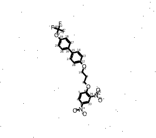 O=[N+]([O-])c1ccc(OCCCOc2ccc(-c3ccc(OC(F)(F)F)cc3)cc2)c([N+](=O)[O-])c1